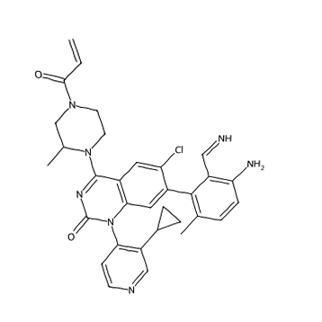 C=CC(=O)N1CCN(c2nc(=O)n(-c3ccncc3C3CC3)c3cc(-c4c(C)ccc(N)c4C=N)c(Cl)cc23)C(C)C1